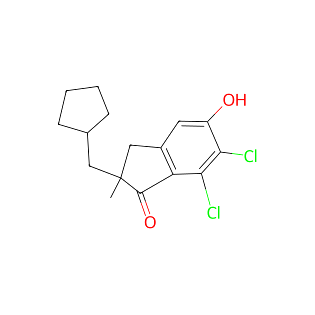 CC1(CC2CCCC2)Cc2cc(O)c(Cl)c(Cl)c2C1=O